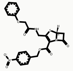 O=C(COc1ccccc1)NCC1=C(C(=O)OCc2ccc([N+](=O)[O-])cc2)N2C(=O)C[C@H]2S1